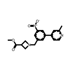 COC(=O)C1CN(Cc2cc(-c3ccnc(C)c3)cc([N+](=O)[O-])c2)C1